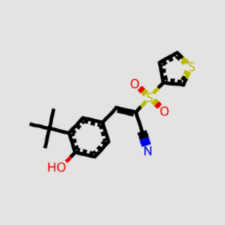 CC(C)(C)c1cc(/C=C(\C#N)S(=O)(=O)c2ccsc2)ccc1O